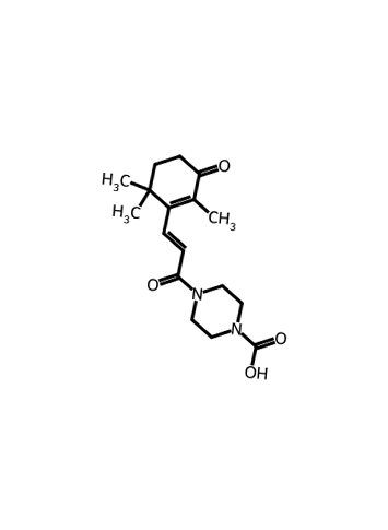 CC1=C(C=CC(=O)N2CCN(C(=O)O)CC2)C(C)(C)CCC1=O